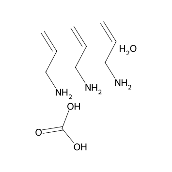 C=CCN.C=CCN.C=CCN.O.O=C(O)O